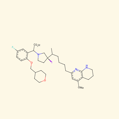 COc1cc(CCCCC(C)[C@]2(I)CCN(C(C(=O)O)c3cc(F)ccc3OCC3CCOCC3)C2)nc2c1CCCN2